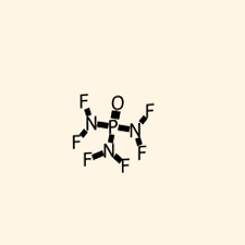 O=P(N(F)F)(N(F)F)N(F)F